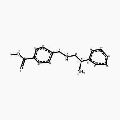 COC(=O)c1ccc(CNC[C@H](N)c2ccccc2)cc1